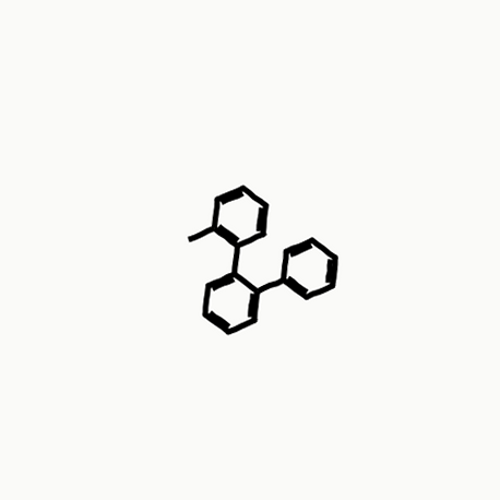 Cc1ccc[c]c1-c1ccccc1-c1ccccc1